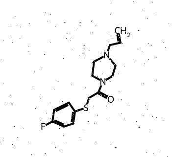 C=CCN1CCN(C(=O)CSc2ccc(F)cc2)CC1